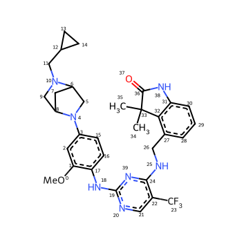 COc1cc(N2CC3CC2CN3CC2CC2)ccc1Nc1ncc(C(F)(F)F)c(NCc2cccc3c2C(C)(C)C(=O)N3)n1